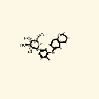 Cc1ccc([C@@H]2O[C@H](CO)[C@@H](O)[C@H](O)[C@H]2O)cc1Cc1ccc2c(c1)CCCO2